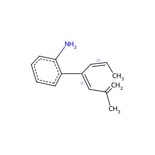 C=C(C)/C=C(\C=C/C)c1ccccc1N